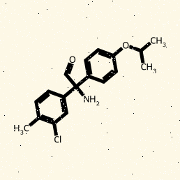 Cc1ccc(C(N)(C=O)c2ccc(OC(C)C)cc2)cc1Cl